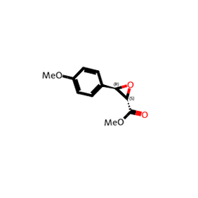 COC(=O)[C@H]1O[C@@H]1c1ccc(OC)cc1